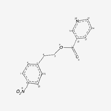 O=C(OCCc1ccc([N+](=O)[O-])cc1)c1cccnc1